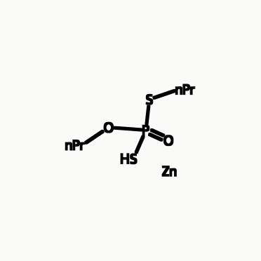 CCCOP(=O)(S)SCCC.[Zn]